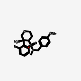 COc1ccc(CN(C)S(=O)(=O)C2CCOCC2(N)c2ccccc2F)cc1